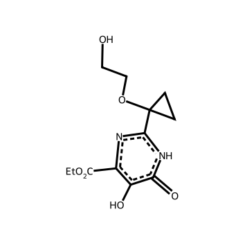 CCOC(=O)c1nc(C2(OCCO)CC2)[nH]c(=O)c1O